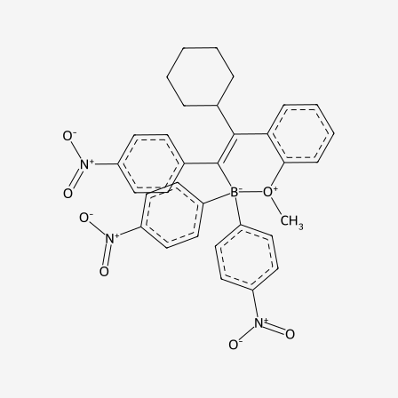 C[O+]1c2ccccc2C(C2CCCCC2)=C(c2ccc([N+](=O)[O-])cc2)[B-]1(c1ccc([N+](=O)[O-])cc1)c1ccc([N+](=O)[O-])cc1